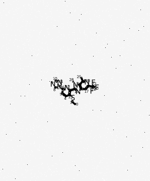 CCSc1ccc(-n2cncn2)nc1-c1nc2cc(C(F)(F)F)nc(C)c2n1C